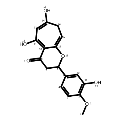 COc1ccc(C2CC(=O)C3=C(O)C=C(O)CC=C3O2)cc1O